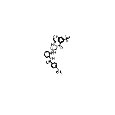 C=CCNN(CC(=O)N[C@@H]1CCCC[C@@H]1NC(=O)c1ccc(SC)cc1)C(=O)c1cccc(C(F)(F)F)c1